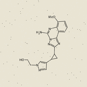 COc1cccc2c1nc(N)n1nc(C3CC3c3cnn(CCO)c3)nc21